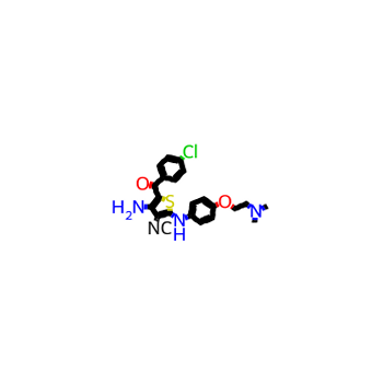 [C-]#[N+]c1c(Nc2ccc(OCCN(C)C)cc2)sc(C(=O)c2ccc(Cl)cc2)c1N